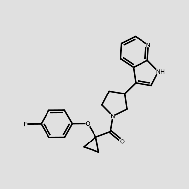 O=C(N1CCC(c2c[nH]c3ncccc23)C1)C1(Oc2ccc(F)cc2)CC1